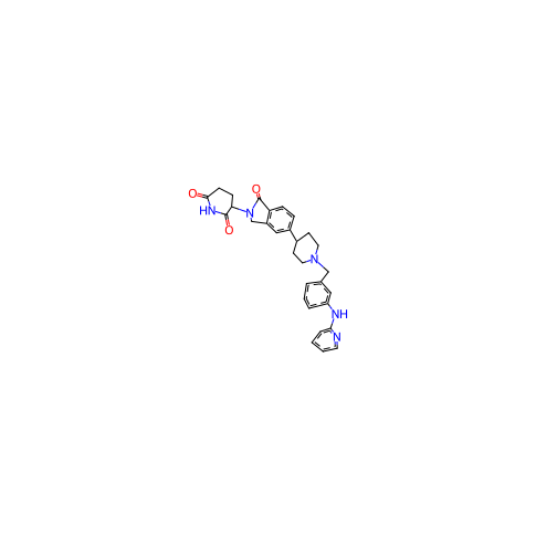 O=C1CCC(N2Cc3cc(C4CCN(Cc5cccc(Nc6ccccn6)c5)CC4)ccc3C2=O)C(=O)N1